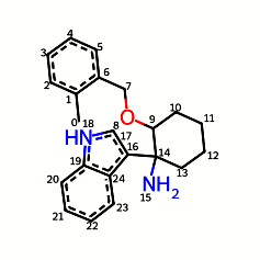 Cc1ccccc1COC1CCCCC1(N)c1c[nH]c2ccccc12